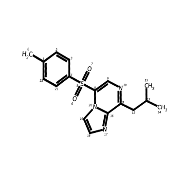 Cc1ccc(S(=O)(=O)c2cnc(CC(C)C)c3nccn23)cc1